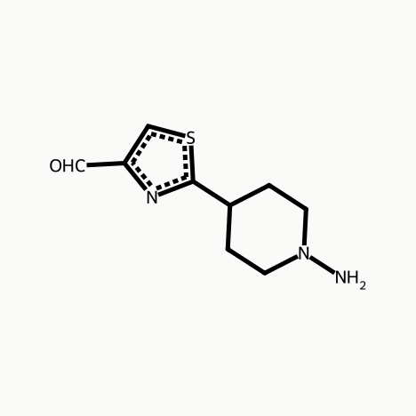 NN1CCC(c2nc(C=O)cs2)CC1